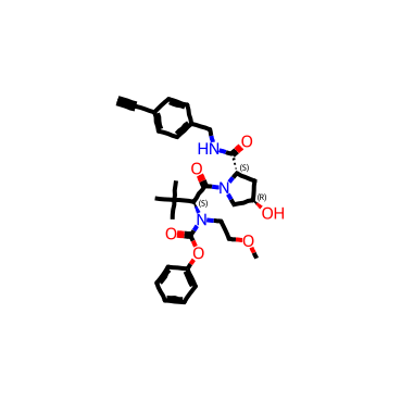 C#Cc1ccc(CNC(=O)[C@@H]2C[C@@H](O)CN2C(=O)[C@@H](N(CCOC)C(=O)Oc2ccccc2)C(C)(C)C)cc1